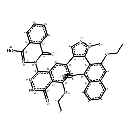 CCOc1cc2ccccc2c(C#N)c1-c1c(-c2cc(OCC)c3c(=O)[nH]nc(N(C)C(=O)c4ccccc4C(=O)O)c3c2)cnn1C